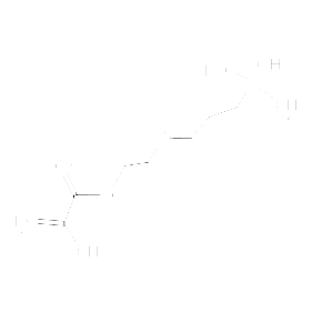 C=C(C)C(=O)OCCOCCC[Si](C)(C)O